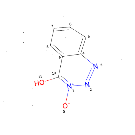 [O-][n+]1nnc2ccccc2c1O